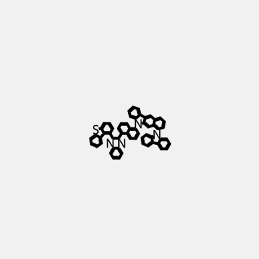 c1cc(-n2c3ccccc3c3ccccc32)c2cc3c(cc2c1)c1ccccc1n3-c1cccc2c(-c3nc4ccccc4nc3-c3cccc4sc5ccccc5c34)cccc12